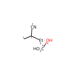 CCC(C)C#N.O=C(O)O